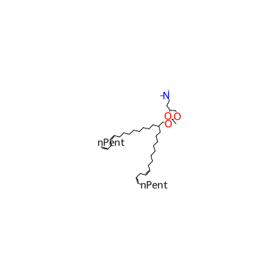 CCCCC/C=C\C/C=C\CCCCCCCCC(CCCCCCCC/C=C\C/C=C\CCCCC)COC1(C)OCC(CCN(C)C)O1